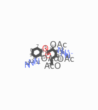 CC(=O)OCC1O[C@@H](O[C@@H]2CCCC(N=[N+]=[N-])C2OC(C)=O)C(OC(C)=O)C(N=[N+]=[N-])[C@H]1OC(C)=O